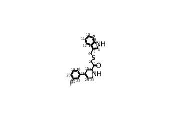 O=C(CSCc1c[nH]c2ccccc12)C1CC(c2cccc(F)c2)=CCN1